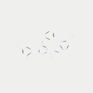 COc1ccc2nc(Nc3cc(Cc4ccccc4)nc(Nc4ccc(CC(=O)O)cc4F)n3)sc2n1